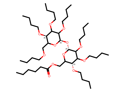 CCCCCC(=O)OCC1O[C@H](O[C@H]2OC(COCCCC)[C@@H](OCCCC)C(OCCCC)C2OCCCC)C(OCCCC)C(OCCCC)[C@@H]1OCCCC